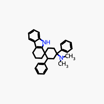 CN(C)C1(c2ccccc2)CCC2(CCCc3c2[nH]c2ccccc32)C(c2ccccc2)C1